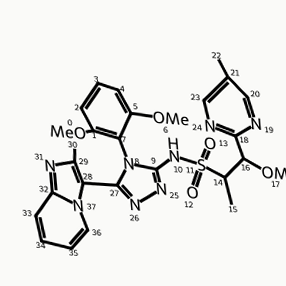 COc1cccc(OC)c1-n1c(NS(=O)(=O)C(C)C(OC)c2ncc(C)cn2)nnc1-c1c(C)nc2ccccn12